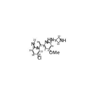 C=C(c1cc(OC)cc(NC2CNC2)n1)n1cc(Cl)cc/c1=N/C